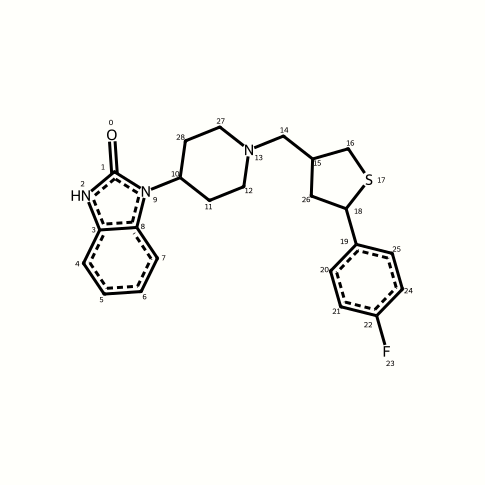 O=c1[nH]c2ccccc2n1C1CCN(CC2CSC(c3ccc(F)cc3)C2)CC1